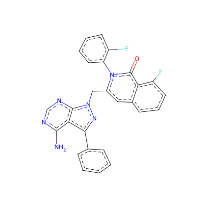 Nc1ncnc2c1c(-c1ccccc1)nn2Cc1cc2cccc(F)c2c(=O)n1-c1ccccc1F